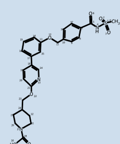 CS(=O)(=O)NC(=O)c1ccc(COc2cccc(-c3ccc(OCC4CCN(C(=O)O)CC4)nc3)c2)cc1